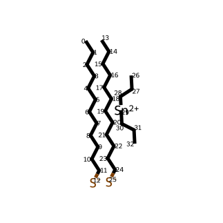 CCCCCCCCCCCC[S-].CCCCCCCCCCCC[S-].CC[CH2][Sn+2][CH2]CC